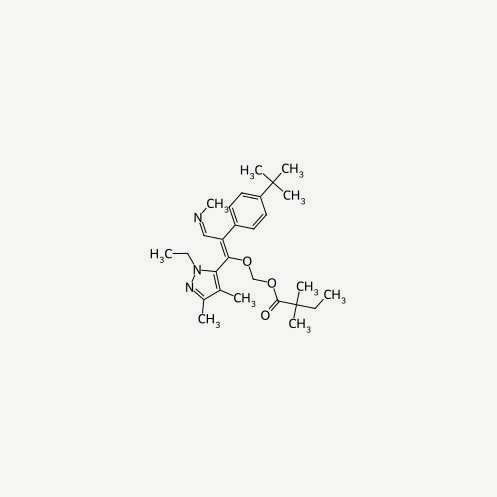 CCn1nc(C)c(C)c1/C(OCOC(=O)C(C)(C)CC)=C(\C=N/C)c1ccc(C(C)(C)C)cc1